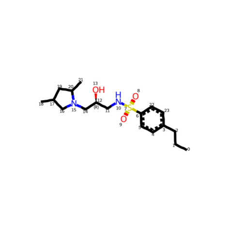 CCCc1ccc(S(=O)(=O)NC[C@H](O)CN2CC(C)CC2C)cc1